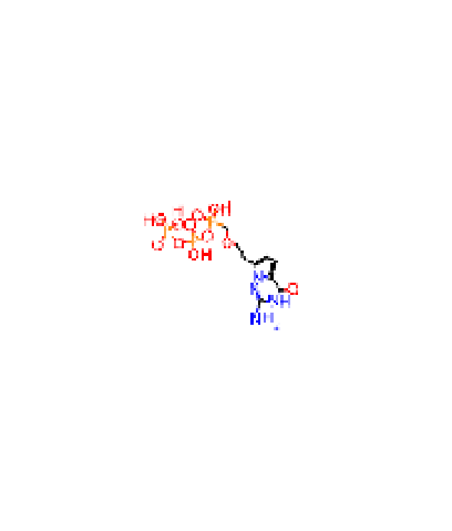 Nc1nn2c(CCOCP(=O)(O)OP(=O)(O)OP(=O)(O)O)ccc2c(=O)[nH]1